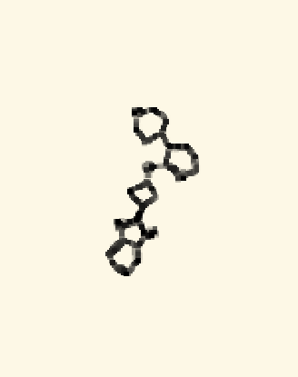 c1cnc(O[C@H]2C[C@H](c3nc4ccccc4[nH]3)C2)c(C2CCOCC2)c1